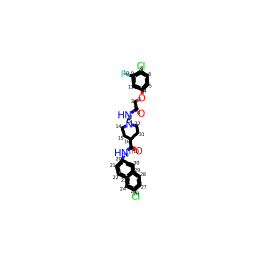 O=C(COc1ccc(Cl)c(F)c1)NN1CCC(C(=O)Nc2ccc3cc(Cl)ccc3c2)CC1